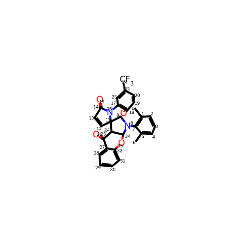 Cc1cccc(C)c1N1C(=O)C2(C=CC(=O)N2c2cccc(C(F)(F)F)c2)C2C(=O)c3ccccc3OC21